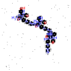 CN1CCN(C2CCN(c3ccc(Nc4nc(NC5CCOCC5)c(-c5ccccc5NCN5CCN(C6CCN(c7ccc(Nc8nc(NC9CCOCC9)c(-c9ccn(C)c9)nc8C(=O)NCN8CCN(C9CCN(c%10ccc(Nc%11nc(NC%12CCOCC%12)c(-c%12ccc(O)cc%12)nc%11C(N)=O)cc%10)CC9)CC8)cc7)CC6)CC5)nc4C(N)=O)cc3)CC2)CC1